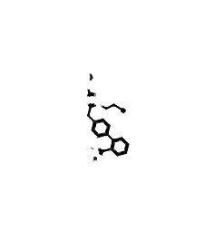 C#CCCn1nc(OCC)nc1Cc1ccc(-c2ccccc2-c2nnn[nH]2)cc1